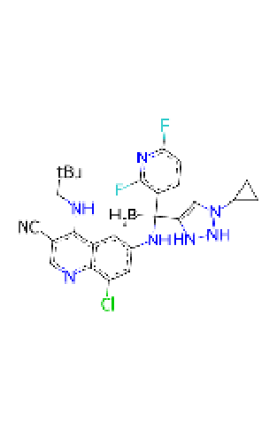 BC(Nc1cc(Cl)c2ncc(C#N)c(NCC(C)(C)C)c2c1)(C1=CN(C2CC2)NN1)c1ccc(F)nc1F